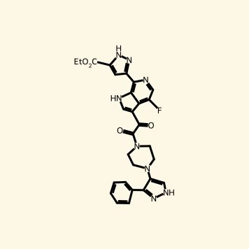 CCOC(=O)c1cc(-c2ncc(F)c3c(C(=O)C(=O)N4CCN(c5c[nH]nc5-c5ccccc5)CC4)c[nH]c23)n[nH]1